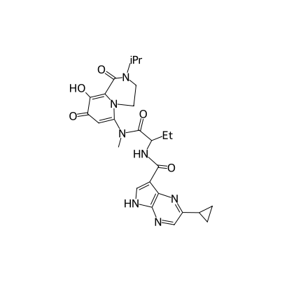 CCC(NC(=O)c1c[nH]c2ncc(C3CC3)nc12)C(=O)N(C)c1cc(=O)c(O)c2n1CCN(C(C)C)C2=O